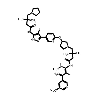 C=C(/C(F)=C(\NN)NC(=O)CC(C)(C)CN1CCC(Oc2ccc(-c3n[nH]c(NC(=O)CC(C)(C)CN4CCCC4)c3F)cn2)C1)c1cncc(OC)c1